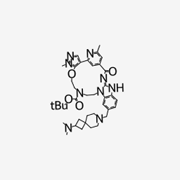 Cc1cc2cc(n1)-c1cnn(C)c1OCCN(C(=O)OC(C)(C)C)CCN1/C(=N/C2=O)Nc2ccc(CN3CCC4(CC3)CC(N(C)C)C4)cc21